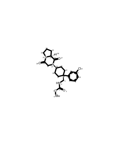 CC(C)(C)OC(=O)NC[C@]1(c2cccc(Cl)c2)CC[C@H](N2CC(=O)N3CCC[C@H]3C2=O)CC1